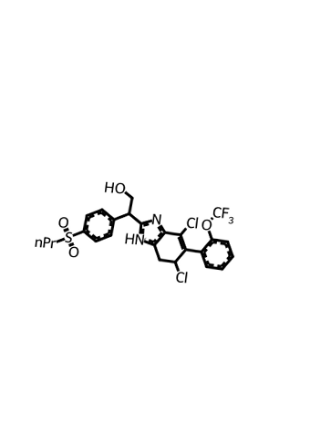 CCCS(=O)(=O)c1ccc(C(CO)c2nc3c([nH]2)CC(Cl)C(c2ccccc2OC(F)(F)F)=C3Cl)cc1